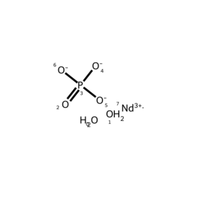 O.O.O=P([O-])([O-])[O-].[Nd+3]